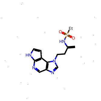 C=C(CCn1cnc2cnc3[nH]ccc3c21)NS(=O)(=O)CC